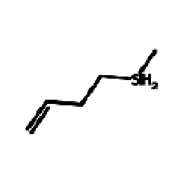 C=CCC[SiH2]C